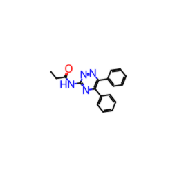 CCC(=O)Nc1nnc(-c2ccccc2)c(-c2ccccc2)n1